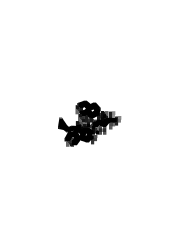 Nc1nccc2ccc(-n3nc(C(F)(F)F)cc3C(=O)Nc3cc(C(N)(CCC4CC4)c4ccncc4)ccc3F)cc12